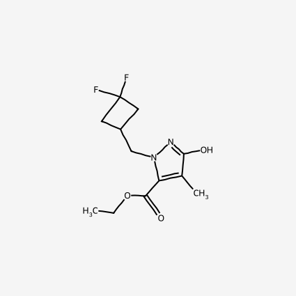 CCOC(=O)c1c(C)c(O)nn1CC1CC(F)(F)C1